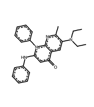 CCN(CC)c1cc2c(=O)cc(Nc3ccccc3)n(-c3ccccc3)c2nc1C